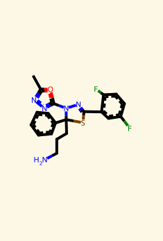 Cc1nnc(N2N=C(c3cc(F)ccc3F)SC2(CCCN)c2ccccc2)o1